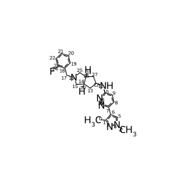 Cc1nn(C)cc1-c1ccc(N[C@H]2C[C@@H]3CN(Cc4ccccc4F)C[C@@H]3C2)nn1